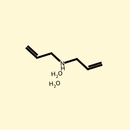 C=CCNCC=C.O.O